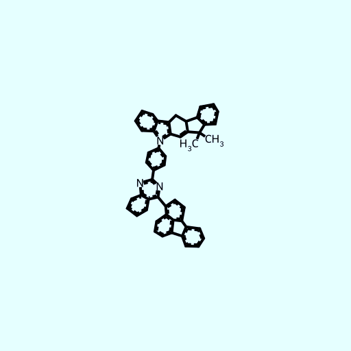 CC1(C)C2=Cc3c(c4ccccc4n3-c3ccc(-c4nc(-c5ccc6c7c(cccc57)-c5ccccc5-6)c5ccccc5n4)cc3)CC2c2ccccc21